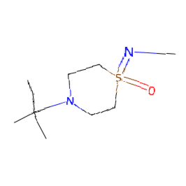 CN=S1(=O)CCN(C(C)(C)C)CC1